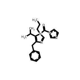 CCC[N+]1(C(=O)n2ccnc2)C=NC(Cc2ccccc2)=C1C(C)C